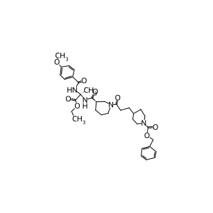 CCOC(=O)[C@@](C)(NC(=O)c1ccc(OC)cc1)NC(=O)[C@@H]1CCCN(C(=O)CCC2CCN(C(=O)OCc3ccccc3)CC2)C1